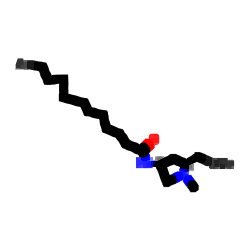 COC[C@@H]1C[C@@H](NC(=O)CCCCCCCCCCC(C)=O)CN1C